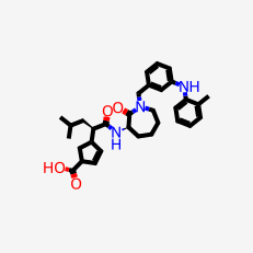 Cc1ccccc1Nc1cccc(CN2CCCC[C@H](NC(=O)[C@H](CC(C)C)C3C=CC(C(=O)O)C3)C2=O)c1